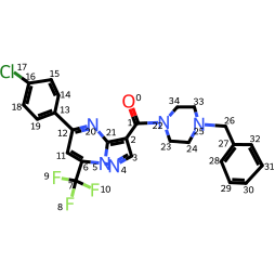 O=C(c1cnn2c(C(F)(F)F)cc(-c3ccc(Cl)cc3)nc12)N1CCN(Cc2ccccc2)CC1